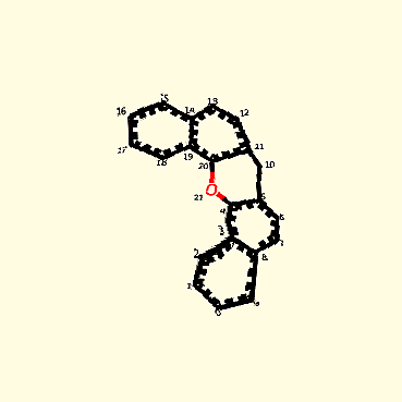 c1ccc2c3c(ccc2c1)Cc1ccc2ccccc2c1O3